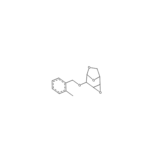 Cc1ccccc1COC1C2OCC(O2)C2OC21